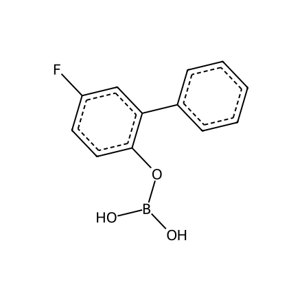 OB(O)Oc1ccc(F)cc1-c1ccccc1